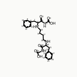 O=C(O)NC(=O)C(Cc1ccccc1)NCCCCNC(Cc1ccccc1)C(=O)NC(=O)O